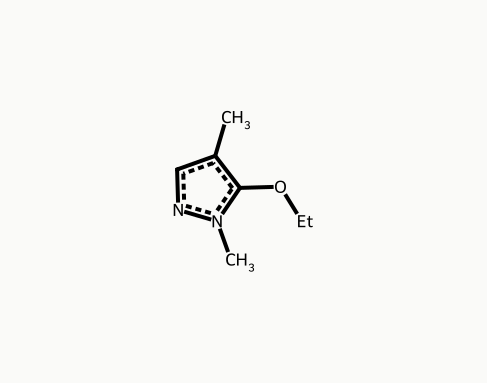 CCOc1c(C)cnn1C